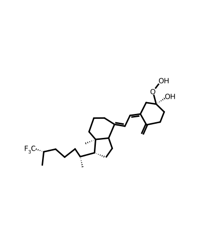 C=C1CC[C@](O)(OO)C/C1=C/C=C1CCC[C@@]2(C)C1CC[C@@H]2[C@H](C)CCC[C@H](C)C(F)(F)F